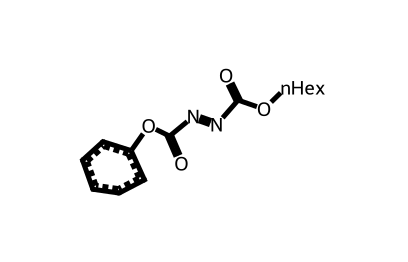 CCCCCCOC(=O)/N=N/C(=O)Oc1ccccc1